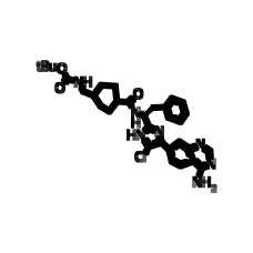 CC(C)(C)OC(=O)NCC1CCC(C(=O)N[C@@H](Cc2ccccc2)c2nc(-c3ccc4c(N)ncnc4c3)c(Cl)[nH]2)CC1